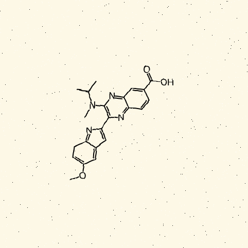 COC1=CCC2=NC(c3nc4ccc(C(=O)O)cc4nc3N(C)C(C)C)=CC2=C1